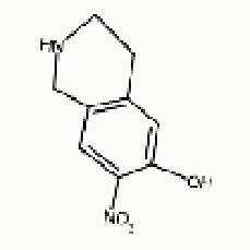 O=[N+]([O-])c1cc2c(cc1O)CCNC2